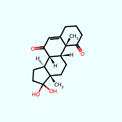 C[C@]12C(=O)CCCC1=CC(=O)[C@@H]1[C@H]2CC[C@@]2(C)[C@H]1CCC2(O)O